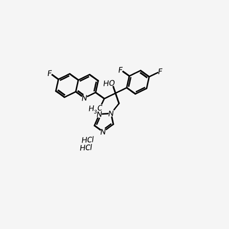 CC(c1ccc2cc(F)ccc2n1)C(O)(Cn1cncn1)c1ccc(F)cc1F.Cl.Cl